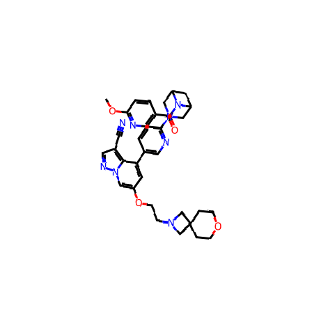 COc1ccc(C(=O)N2C3CC2CN(c2ccc(-c4cc(OCCN5CC6(CCOCC6)C5)cn5ncc(C#N)c45)cn2)C3)cn1